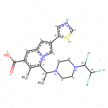 Cc1c(C(=O)O)cc2cc(-c3cncs3)cn2c1C(C)N1CCN(C(F)C(F)F)CC1